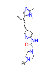 C=C/C(=C\C=C1\C=NC(NC(=O)CN2CCN(C(C)C)CC2)=CC1)c1cnc(C)n1C